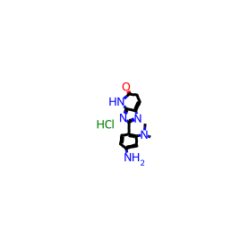 CN(C)c1cc(N)ccc1C1=NC2=CCC(=O)NC2=N1.Cl